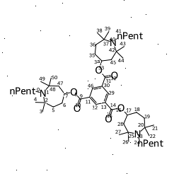 CCCCCN1C(C)(C)CCC(OC(=O)c2cc(C(=O)OC3CCC(C)(C)N(CCCCC)C(C)(C)C3)cc(C(=O)OC3CCC(C)(C)N(CCCCC)C(C)(C)C3)c2)CC1(C)C